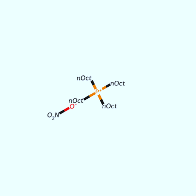 CCCCCCCC[P+](CCCCCCCC)(CCCCCCCC)CCCCCCCC.O=[N+]([O-])[O-]